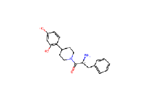 N[C@@H](Cc1ccccc1)C(=O)N1CCC(c2ccc(O)cc2O)CC1